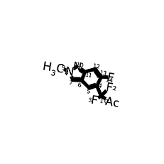 CC(=O)C(F)(F)c1cc2cn(C)nc2cc1F